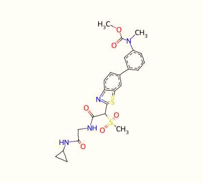 COC(=O)N(C)c1cccc(-c2ccc3nc(C(C(=O)NCC(=O)NC4CC4)S(C)(=O)=O)sc3c2)c1